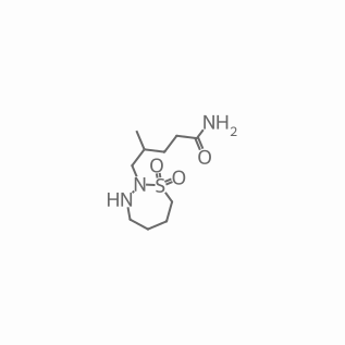 CC(CCC(N)=O)CN1NCCCCS1(=O)=O